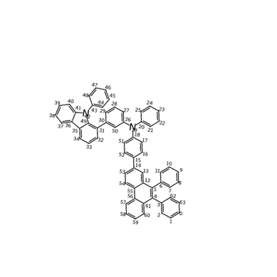 c1ccc(-c2c(-c3ccccc3)c3cc(-c4ccc(N(c5ccccc5)c5cccc(-c6cccc7c8ccccc8n(-c8ccccc8)c67)c5)cc4)ccc3c3ccccc23)cc1